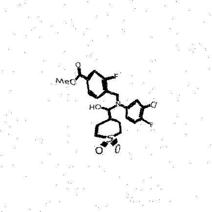 COC(=O)c1ccc(CN(c2ccc(F)c(Cl)c2)C(O)C2CCS(=O)(=O)CC2)c(F)c1